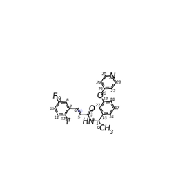 CC(NC(=O)/C=C/c1cc(F)ccc1F)c1cccc(Oc2ccncc2)c1